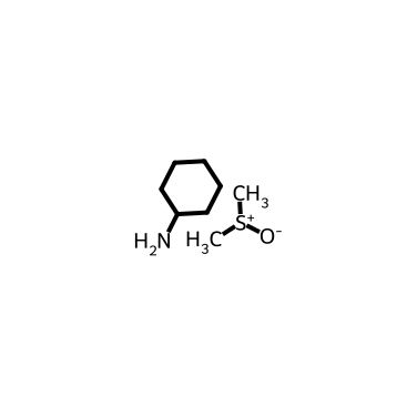 C[S+](C)[O-].NC1CCCCC1